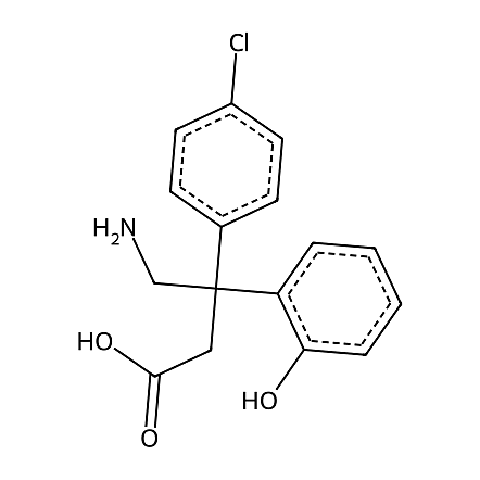 NCC(CC(=O)O)(c1ccc(Cl)cc1)c1ccccc1O